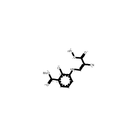 CCCOC(=O)C(C#N)=CNc1cccc(C(=O)OC)c1Cl